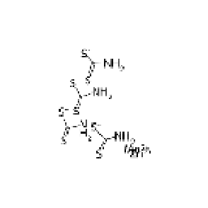 NC(=S)[S-].NC(=S)[S-].NC(=S)[S-].NC(=S)[S-].[Mn+2].[Zn+2]